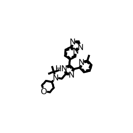 Cc1cccc(-c2nc(CN(C3CCOCC3)C(C)(C)C)[nH]c2-c2ccc3ncnn3c2)n1